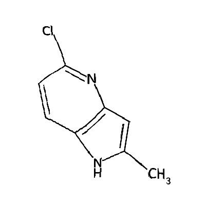 Cc1cc2nc(Cl)ccc2[nH]1